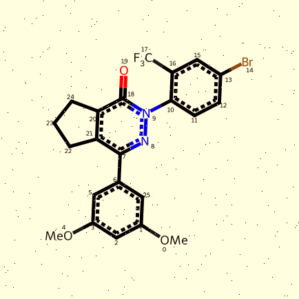 COc1cc(OC)cc(-c2nn(-c3ccc(Br)cc3C(F)(F)F)c(=O)c3c2CCC3)c1